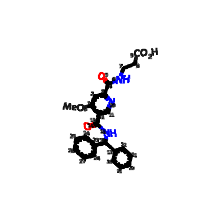 COc1cc(C(=O)NCCC(=O)O)ncc1C(=O)NC(c1ccccc1)c1ccccc1